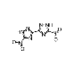 O=[N+]([O-])c1nc(-c2n[nH]c([N+](=O)[O-])n2)n[nH]1